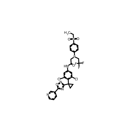 CCS(=O)(=O)c1ccc(N(CC(=O)Nc2cc(Cl)c(C3(c4noc(-c5cccnc5)n4)CC3)c(Cl)c2)CC(F)(F)F)cc1